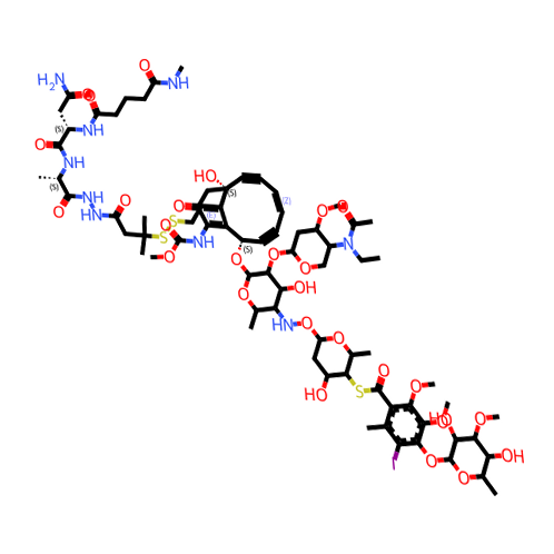 CCN(C(C)=O)C1COC(OC2C(O[C@H]3C#C/C=C\C#C[C@]4(O)CC(=O)C(NC(=O)OC)=C3/C4=C\CSSC(C)(C)CC(=O)NNC(=O)[C@H](C)NC(=O)[C@H](CC(N)=O)NC(=O)CCCC(=O)NC)OC(C)C(NOC3CC(O)C(SC(=O)c4c(C)c(I)c(OC5OC(C)C(O)C(OC)C5O)c(OC)c4OC)C(C)O3)C2O)CC1OC